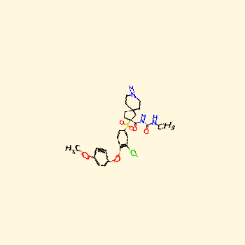 CNC(=O)NC(=O)C1(S(=O)(=O)c2ccc(Oc3ccc(OC)cc3)c(Cl)c2)CCC2(CCNCC2)C1